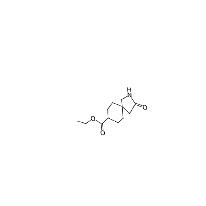 CCOC(=O)C1CCC2(CC1)CNC(=O)C2